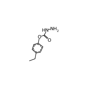 CCc1ccc(OC(=O)NN)cc1